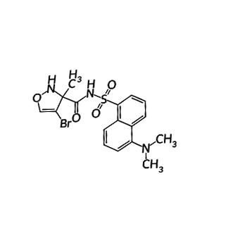 CN(C)c1cccc2c(S(=O)(=O)NC(=O)C3(C)NOC=C3Br)cccc12